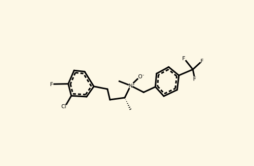 C[C@H](CCc1ccc(F)c(Cl)c1)[N+](C)([O-])Cc1ccc(C(F)(F)F)cc1